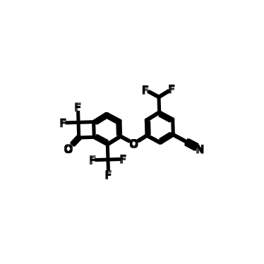 N#Cc1cc(OC2=C=C=C3C(=C2C(F)(F)F)C(=O)C3(F)F)cc(C(F)F)c1